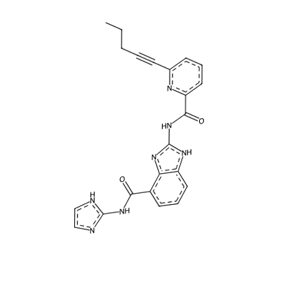 CCCC#Cc1cccc(C(=O)Nc2nc3c(C(=O)Nc4ncc[nH]4)cccc3[nH]2)n1